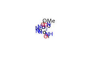 C=C(C)C(=O)Nc1ccc(-c2c(-c3ccc(Oc4cccc(C)n4)c(OCCOC)c3)c3c(N)ncnc3n2C)cc1